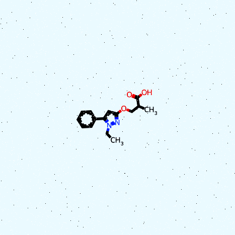 CCn1nc(OCC(C)C(=O)O)cc1-c1ccccc1